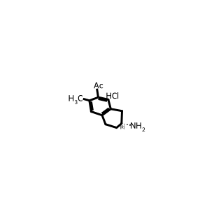 CC(=O)c1cc2c(cc1C)CC[C@@H](N)C2.Cl